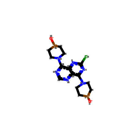 [O-][S+]1CCN(c2nc(Cl)nc3c(N4CC[S+]([O-])CC4)ncnc23)CC1